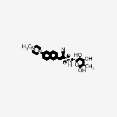 C[C@H]1C(O)O[C@H](CNS(=O)(=O)/C(C#N)=C/c2ccc3cc(N4CCN(C)CC4)ccc3c2)[C@@H](O)[C@@H]1O